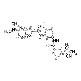 Cc1ccc(NC(=O)c2cccc(C(C)(C)C#N)c2)cc1NC(=O)c1cc2nc(N(C)C)cnc2s1